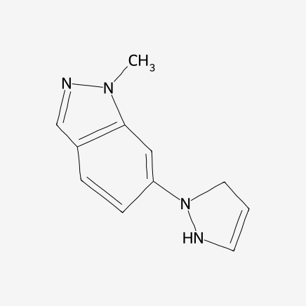 Cn1ncc2ccc(N3CC=CN3)cc21